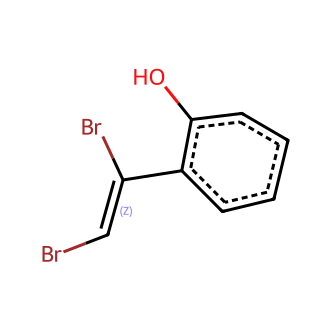 Oc1ccccc1/C(Br)=C/Br